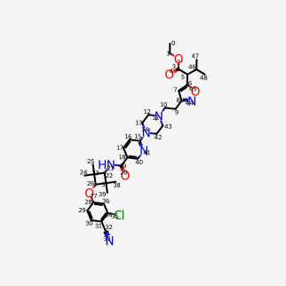 CCOC(=O)C(c1cc(CCN2CCN(c3ccc(C(=O)NC4C(C)(C)C(Oc5ccc(C#N)c(Cl)c5)C4(C)C)cn3)CC2)no1)C(C)C